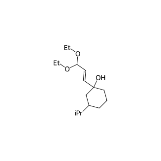 CCOC(C=CC1(O)CCCC(C(C)C)C1)OCC